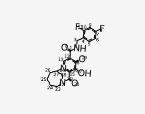 O=C(NCc1ccc(F)cc1F)c1cn2c(c(O)c1=O)C(=O)N1CCCCC2C1